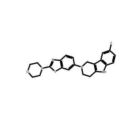 Fc1ccc2[nH]c3c(c2c1)CN(c1ccc2nc(N4CCOCC4)sc2c1)CC3